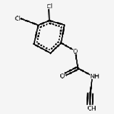 C#CNC(=O)Oc1ccc(Cl)c(Cl)c1